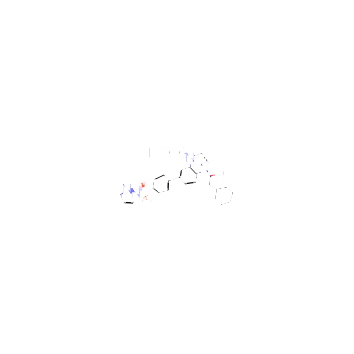 C[C@H]1CN(C(=O)O)c2cc(-c3ccc(S(=O)(=O)n4cccn4)cc3)ccc2N1C(=O)CC1CCCCC1